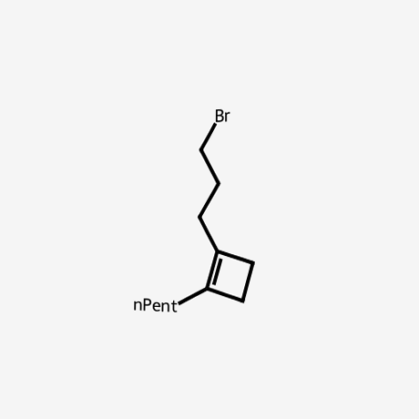 CCCCCC1=C(CCCBr)CC1